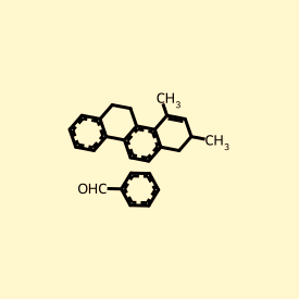 CC1=CC(C)Cc2ccc3c(c21)CCc1ccccc1-3.O=Cc1ccccc1